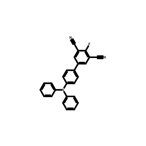 N#Cc1cc(-c2ccc(N(c3ccccc3)c3ccccc3)cc2)cc(C#N)c1F